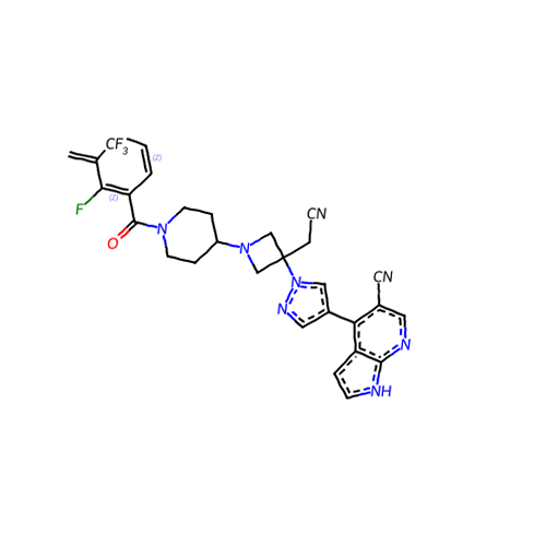 C=C(/C(F)=C(\C=C/C)C(=O)N1CCC(N2CC(CC#N)(n3cc(-c4c(C#N)cnc5[nH]ccc45)cn3)C2)CC1)C(F)(F)F